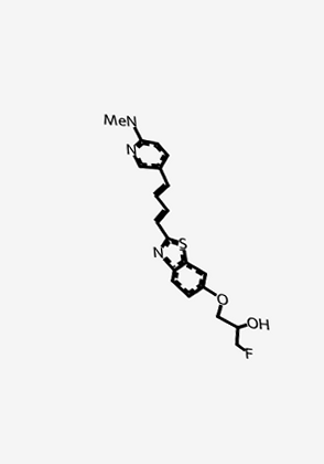 CNc1ccc(C=CC=Cc2nc3ccc(OCC(O)CF)cc3s2)cn1